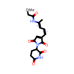 COCC(=O)N/C(C)=C/C=C\C1=CC(=O)N(C2CCC(=O)NC2=O)C1=O